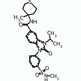 CNS(=O)(=O)c1cccc(-n2c(=O)n(C(C)C)c3cc(C(=O)NC4(C)CCSCC4)ccc32)c1